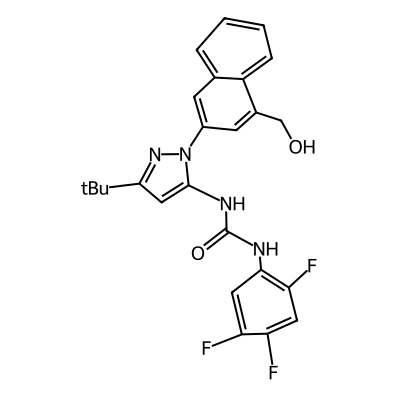 CC(C)(C)c1cc(NC(=O)Nc2cc(F)c(F)cc2F)n(-c2cc(CO)c3ccccc3c2)n1